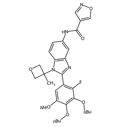 CCCCOc1c(OC)cc(-c2nc3cc(NC(=O)c4cnoc4)ccc3n2C2(C)COC2)c(F)c1OCCCC